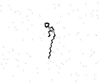 CCCCCCCCCCCCCN1C=CN(c2ccccc2)C1CCC